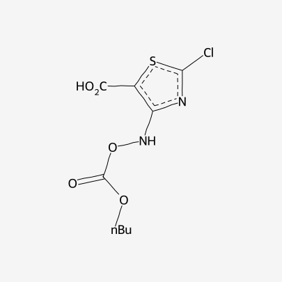 CCCCOC(=O)ONc1nc(Cl)sc1C(=O)O